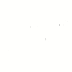 C=C1C(CC(=O)NC(C)(C)C)CC(=O)C1c1c(C)cc(C#CC)cc1CC